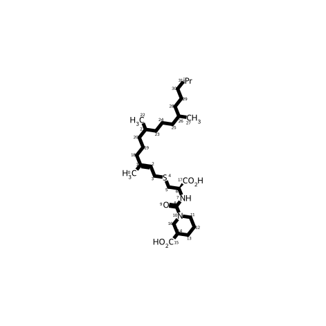 C/C(=C\CSC[C@H](NC(=O)N1CCCC(C(=O)O)C1)C(=O)O)CCCC(C)CCCC(C)CCCC(C)C